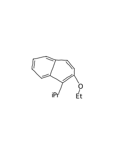 CCOc1ccc2ccccc2c1C(C)C